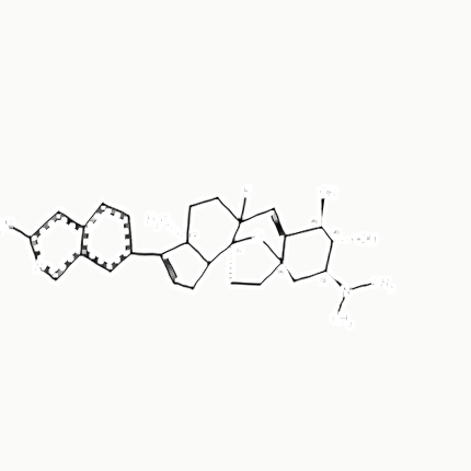 CN(C)[C@H]1C[C@@]23CC[C@]4(O2)C2CC=C(c5ccc6cc(N)ncc6c5)[C@@]2(C)CCC4(F)C=C3[C@@H](O)[C@@H]1O